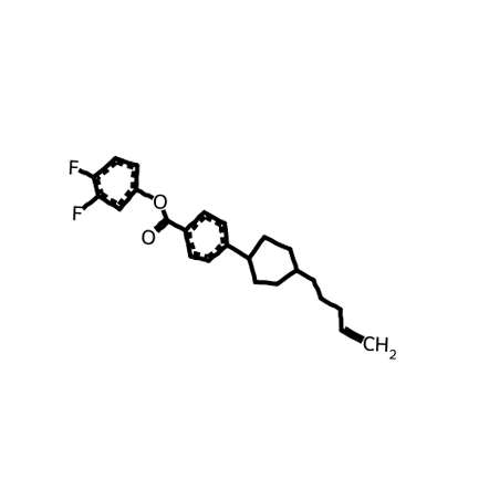 C=CCCCC1CCC(c2ccc(C(=O)Oc3ccc(F)c(F)c3)cc2)CC1